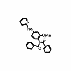 COc1cc(N=Nc2ccccn2)ccc1N(C(=O)c1ccccc1)C(=O)c1ccccc1